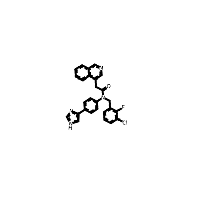 O=C(Cc1cncc2ccccc12)N(Cc1cccc(Cl)c1F)c1ccc(-c2c[nH]cn2)cc1